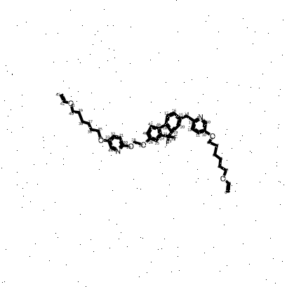 C=COCCCCCCOc1ccc(Cc2ccc3c(c2)C(F)(F)c2cc(OCOc4ccc(OCCCCCCOC=C)cn4)ccc2-3)nc1